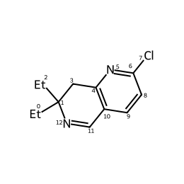 CCC1(CC)Cc2nc(Cl)ccc2C=N1